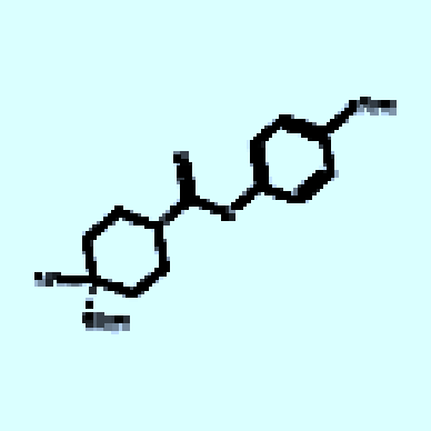 CCCCCCC[C@]1(C#N)CC[C@@H](C(=O)Oc2ccc(CCCCC)cc2)CC1